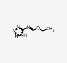 CCOC=Nc1nnn[nH]1